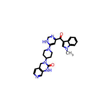 Cn1cc(C(=O)C2=NCNC(N3CCC(N4Cc5ccncc5NC4=O)CC3)=C2)c2ccccc21